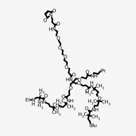 CCNCC(C)(C)C(=O)NCCC(C)(C)OCCC(C)(C)NC(=O)CCOCC(COCCC(=O)NCCC(C)C)(COCCC(=O)NC(C)(C)CCOC(C)(C)CCNC(=O)C(C)(C)CCC(C)(C)C)NC(=O)CCOCCOCCOCCOCCNC(=O)CCN1C(=O)C=CC1=O